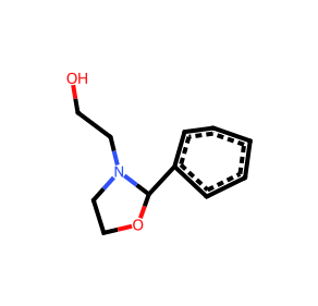 OCCN1CCOC1c1ccccc1